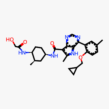 Cc1ccc(OCC2CC2)c(-c2ncnc3c(C(=O)N[C@@H]4CC[C@H](NC(=O)CO)[C@H](C)C4)c(C)[nH]c23)c1